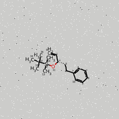 C=C[C@H](CCc1ccccc1)O[Si](C)(C)C(C)(C)C